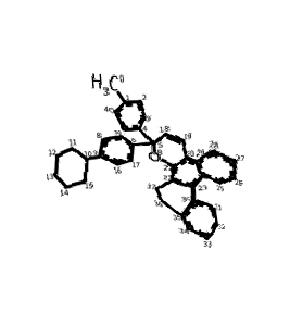 Cc1ccc(C2(c3ccc(C4CCCCC4)cc3)C=Cc3c(c4c(c5ccccc35)-c3ccccc3CC4)O2)cc1